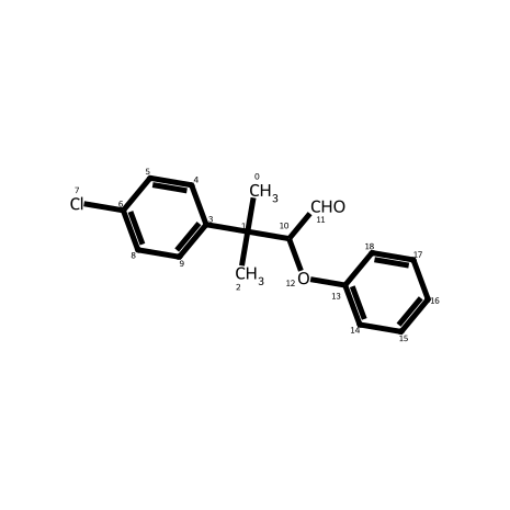 CC(C)(c1ccc(Cl)cc1)C(C=O)Oc1ccccc1